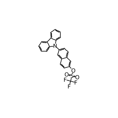 O=S(=O)(Oc1ccc2cc(-n3c4ccccc4c4ccccc43)ccc2c1)C(F)(F)F